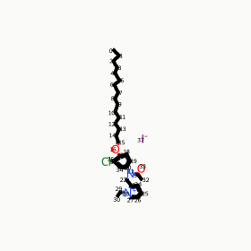 CCCCCCCCCCCCCCCCOc1ccc(N(Cc2cccc[n+]2CC)C(C)=O)cc1Cl.[I-]